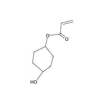 C=CC(=O)OC1CCC(O)CC1